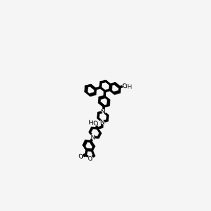 O=C1OCc2cc(N3CCC(O)(CN4CCN(c5ccc(C6c7ccc(O)cc7CCC6c6ccccc6)cc5)CC4)CC3)ccc21